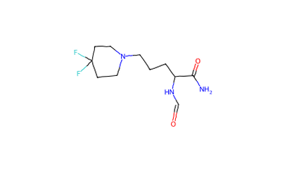 NC(=O)C(CCCN1CCC(F)(F)CC1)NC=O